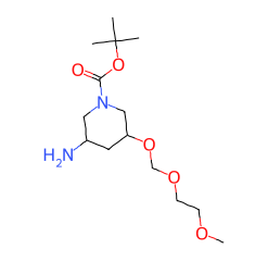 COCCOCOC1CC(N)CN(C(=O)OC(C)(C)C)C1